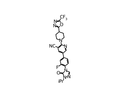 CC(C)n1ncn(-c2ccc(-c3cnc(N4CCC(c5nnc(C(F)(F)F)o5)CC4)c(C#N)c3)cc2F)c1=O